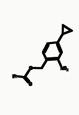 CC(C)C(=O)OCc1ccc(C2CC2)cc1[N+](=O)[O-]